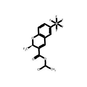 CC(Cl)OC(=O)C1=Cc2cc(S(F)(F)(F)(F)F)ccc2O[C@@H]1C(F)(F)F